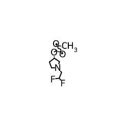 CS(=O)(=O)O[C@H]1CCN(CC(F)F)C1